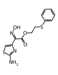 Nc1nc(C(=NO)C(=O)OCCSc2ccccc2)cs1